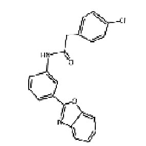 O=C(Cc1ccc(Cl)cc1)Nc1cccc(-c2nc3ccccc3o2)c1